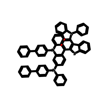 c1ccc(-c2ccc(N(c3ccccc3)c3ccc(-c4cc5c6ccccc6n(-c6ccccc6)c5c5c4sc4ccccc45)c(N(c4ccccc4)c4ccc(-c5ccccc5)cc4)c3)cc2)cc1